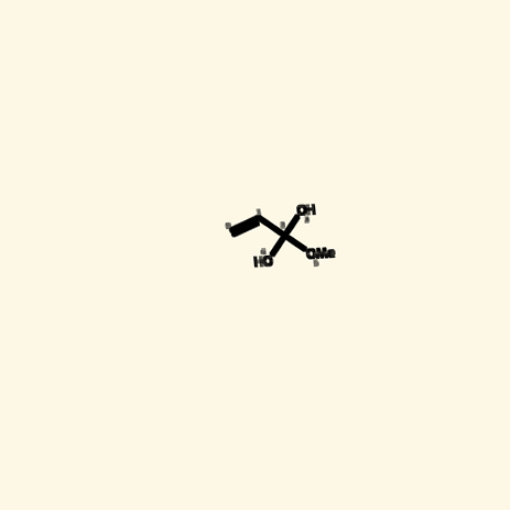 C=CC(O)(O)OC